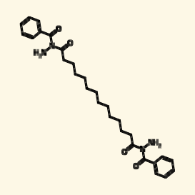 NN(C(=O)CCCCCCCCCCCCC(=O)N(N)C(=O)c1ccccc1)C(=O)c1ccccc1